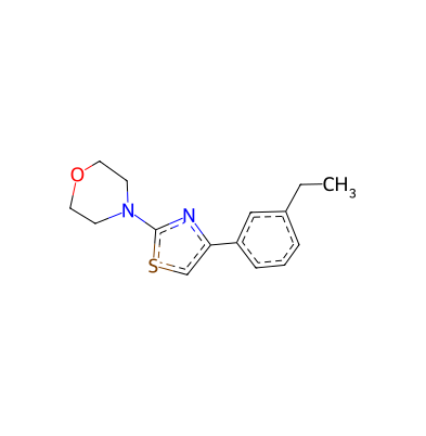 CCc1cccc(-c2csc(N3CCOCC3)n2)c1